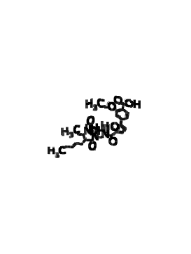 CCCCCC(C(=O)NCNC(=O)c1ccc(-c2ccc(C(=O)O)c(OCC)c2)o1)C(CC)N(O)C=O